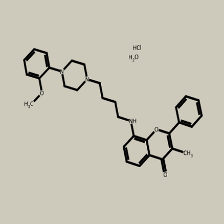 COc1ccccc1N1CCN(CCCCNc2cccc3c(=O)c(C)c(-c4ccccc4)oc23)CC1.Cl.O